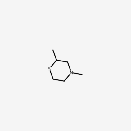 CC1CN(C)CCS1